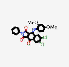 COc1ccc(/N=c2/c3c(=O)n(-c4ccccc4)c(=O)c=3c(=O)c3cc(Cl)c(Cl)cc23)c(OC)c1